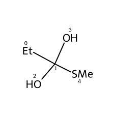 CCC(O)(O)SC